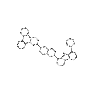 c1ccc(-c2cccc3c2sc2c(-c4ccc5cc(-c6ccc7c8ccccc8c8ccccc8c7c6)ccc5c4)cccc23)cc1